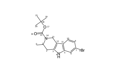 CC1Cc2[nH]c3cc(Br)ccc3c2CN1C(=O)OC(C)(C)C